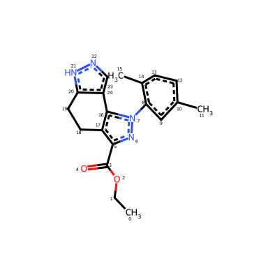 CCOC(=O)c1nn(-c2cc(C)ccc2C)c2c1CCc1[nH]ncc1-2